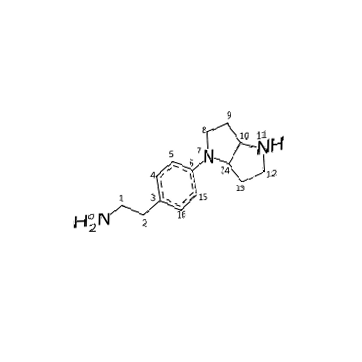 NCCc1ccc(N2CCC3NCCC32)cc1